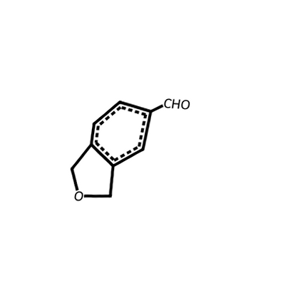 O=Cc1ccc2c(c1)COC2